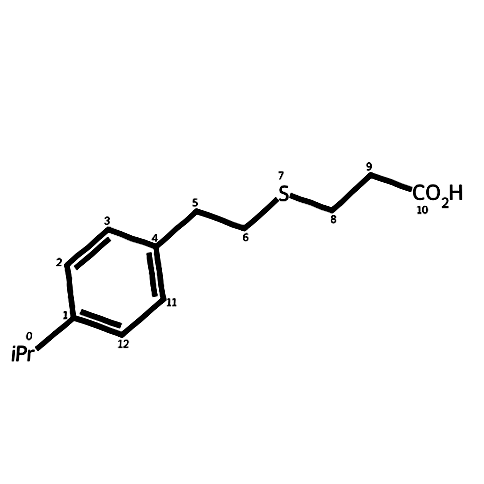 CC(C)c1ccc(CCSCCC(=O)O)cc1